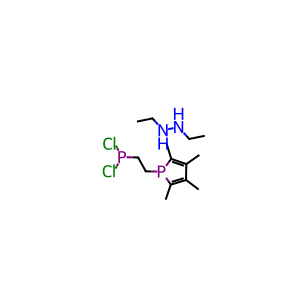 CCNNCC.Cc1c(C)c(C)p(CCP(Cl)Cl)c1C